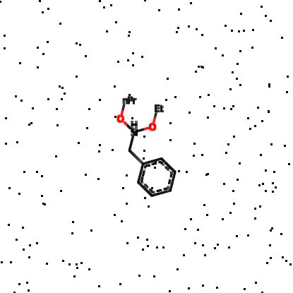 CCCO[SiH](Cc1ccccc1)OCC